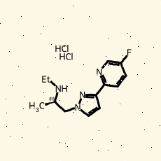 CCN[C@H](C)Cn1ccc(-c2ccc(F)cn2)n1.Cl.Cl